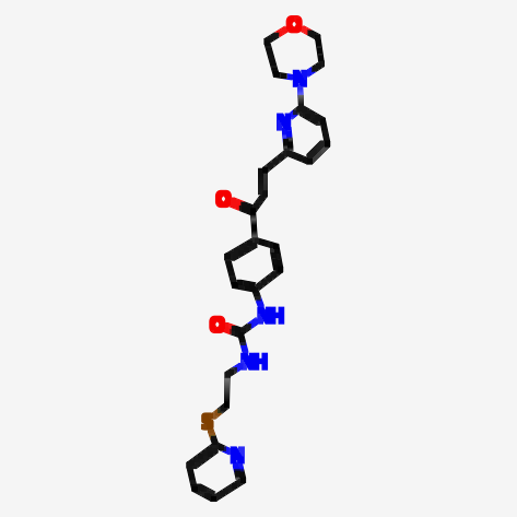 O=C(NCCSc1ccccn1)Nc1ccc(C(=O)C=Cc2cccc(N3CCOCC3)n2)cc1